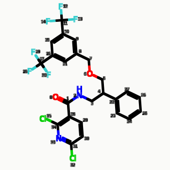 O=C(NCC(COCc1cc(C(F)(F)F)cc(C(F)(F)F)c1)c1ccccc1)c1ccc(Cl)nc1Cl